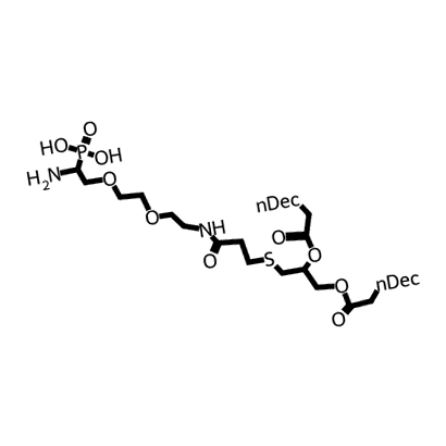 CCCCCCCCCCCC(=O)OCC(CSCCC(=O)NCCOCCOCC(N)P(=O)(O)O)OC(=O)CCCCCCCCCCC